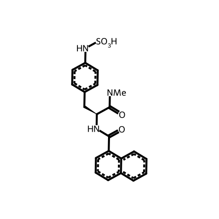 CNC(=O)[C@H](Cc1ccc(NS(=O)(=O)O)cc1)NC(=O)c1cccc2ccccc12